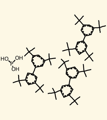 CC(C)(C)c1cc(-c2cc(C(C)(C)C)cc(C(C)(C)C)c2)cc(C(C)(C)C)c1.CC(C)(C)c1cc(-c2cc(C(C)(C)C)cc(C(C)(C)C)c2)cc(C(C)(C)C)c1.CC(C)(C)c1cc(-c2cc(C(C)(C)C)cc(C(C)(C)C)c2)cc(C(C)(C)C)c1.OP(O)O